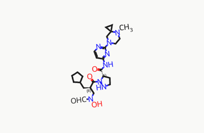 CN1CCN(c2nccc(NC(=O)[C@@H]3CCNN3C(=O)[C@H](CC3CCCC3)CN(O)C=O)n2)CC12CC2